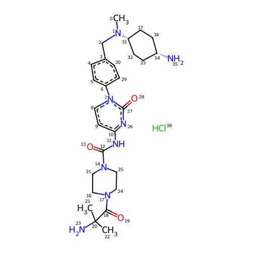 CN(Cc1ccc(-n2ccc(NC(=O)N3CCN(C(=O)C(C)(C)N)CC3)nc2=O)cc1)[C@H]1CC[C@@H](N)CC1.Cl